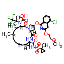 COCCOc1cc2c(Cl)cccc2c(O[C@@H]2C[C@H]3C(=O)N[C@]4(C(=O)NS(=O)(=O)C5(C)CC5)C[C@H]4/C=C\CC[C@@H](C)C[C@@H](C)[C@H](N(C(=O)O)C(C)(C)C(F)(F)F)C(=O)N3C2)n1